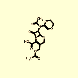 CC(=O)OCC1=C(C(=O)O)N2C(=O)C(N(C(C)=O)C3=CSCCO3)C2SC1